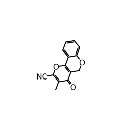 Cc1c(C#N)oc2c(c1=O)COc1ccccc1-2